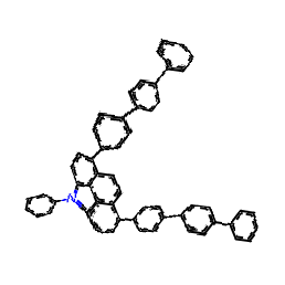 c1ccc(-c2ccc(-c3ccc(-c4ccc5c6c4ccc4c(-c7ccc(-c8ccc(-c9ccccc9)cc8)cc7)ccc(c46)n5-c4ccccc4)cc3)cc2)cc1